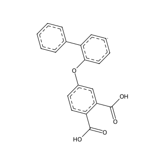 O=C(O)c1ccc(Oc2cc[c]cc2-c2ccccc2)cc1C(=O)O